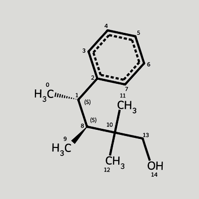 C[C@H](c1ccccc1)[C@H](C)C(C)(C)CO